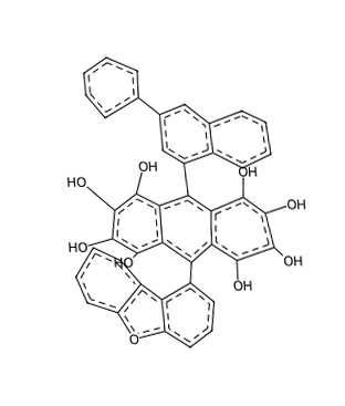 Oc1c(O)c(O)c2c(-c3cccc4oc5ccccc5c34)c3c(O)c(O)c(O)c(O)c3c(-c3cc(-c4ccccc4)cc4ccccc34)c2c1O